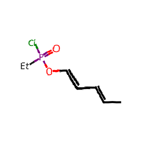 CC=CC=COP(=O)(Cl)CC